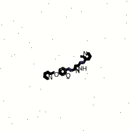 COc1cc(OCc2ccccn2)ccc1/C=C/c1cc(/C=C/c2cccnc2C)[nH]n1